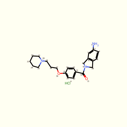 Cl.Nc1ccc2c(c1)CN(C(=O)c1ccc(OCCCN3CCCCC3)cc1)C2